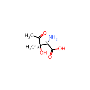 CC(=O)[C@](C)(O)[C@H](N)C(=O)O